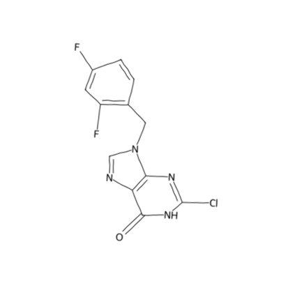 O=c1[nH]c(Cl)nc2c1ncn2Cc1ccc(F)cc1F